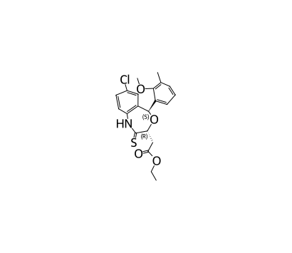 CCOC(=O)C[C@H]1O[C@H](c2cccc(C)c2OC)c2cc(Cl)ccc2NC1=S